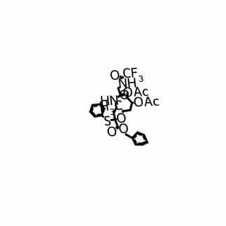 CC(=O)OCC(CC(C)OC(CCNC(=O)CNC(=O)C(F)(F)F)(Sc1ccccc1)C(=O)OCc1ccccc1)OC(C)=O